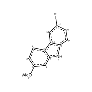 COc1ccc2c(c1)[nH]c1ccc(I)cc12